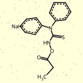 CCC(=O)ONC(=S)N(c1ccccc1)c1ccccc1.[NaH]